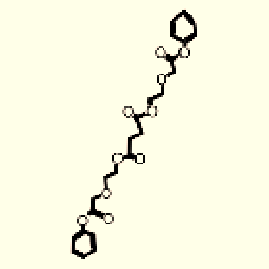 O=C(CCC(=O)OCCOCC(=O)Oc1ccccc1)OCCOCC(=O)Oc1ccccc1